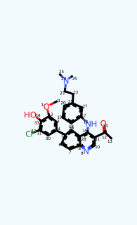 COc1cc(-c2ccc3ncc(C(C)=O)c(Nc4cccc(CCN(C)C)c4)c3c2)cc(Cl)c1O